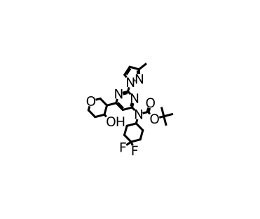 Cc1ccn(-c2nc(C3COCCC3O)cc(N(C(=O)OC(C)(C)C)C3CCC(F)(F)CC3)n2)n1